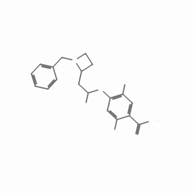 CCC(CC1CCN1Cc1ccccc1)Nc1cc(F)c(C(=O)OC)cc1N